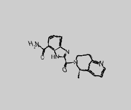 C[C@@H]1c2cccnc2CCN1C(=O)c1nc2cccc(C(N)=O)c2[nH]1